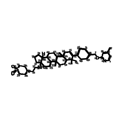 Cc1ccnc(OCC2CC=C(C3=CCC4(C)C(CCC5(C)C6CCC7(NCCN8CCS(=O)(=O)CC8)CCC[C@@H]7C6CCC54)C3(C)C)CC2)c1